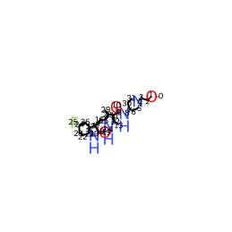 COCCN1CCC(NC(=O)c2c(C)[nH]c(/C=C3\C(=O)Nc4ccc(F)cc43)c2C)CC1